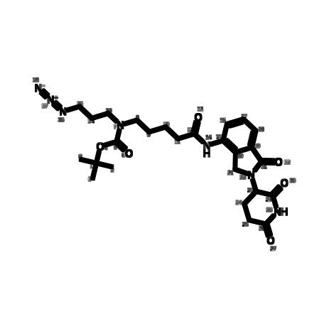 CC(C)(C)OC(=O)N(CCCCC(=O)Nc1cccc2c1CN(C1CCC(=O)NC1=O)C2=O)CCCN=[N+]=[N-]